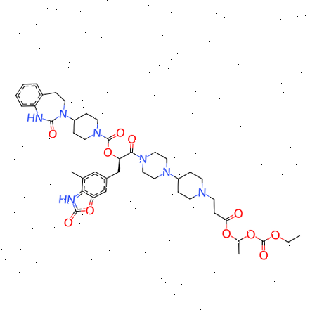 CCOC(=O)OC(C)OC(=O)CCN1CCC(N2CCN(C(=O)[C@@H](Cc3cc(C)c4[nH]c(=O)oc4c3)OC(=O)N3CCC(N4CCc5ccccc5NC4=O)CC3)CC2)CC1